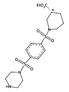 CCOC(=O)[C@@H]1CCCN(S(=O)(=O)c2ccc(S(=O)(=O)N3CCNCC3)cc2)C1